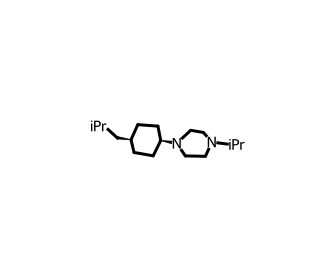 CC(C)C[C@H]1CC[C@@H](N2CCN(C(C)C)CC2)CC1